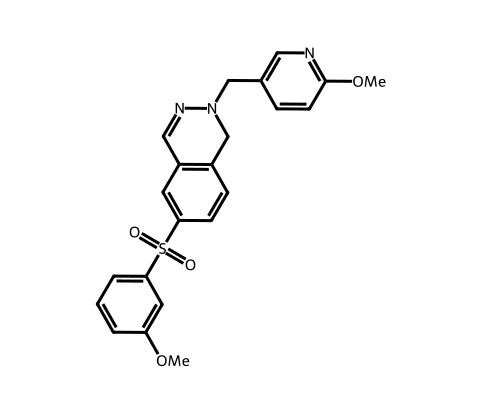 COc1cccc(S(=O)(=O)c2ccc3c(c2)C=NN(Cc2ccc(OC)nc2)C3)c1